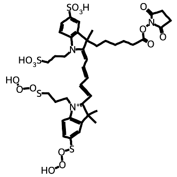 CC1(C)C(/C=C/C=C/C=C2\N(CCCS(=O)(=O)O)c3ccc(S(=O)(=O)O)cc3C2(C)CCCCCC(=O)ON2C(=O)CCC2=O)=[N+](CCCSOOO)c2ccc(SOOO)cc21